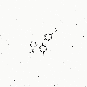 CC(=O)N1CCC[C@@H]1c1cc(N)ccc1Oc1ccc(S(C)(=O)=O)nc1